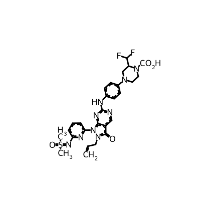 C=CCn1c(=O)c2cnc(Nc3ccc(N4CCN(C(=O)O)C(C(F)F)C4)cc3)nc2n1-c1cccc(N=S(C)(C)=O)n1